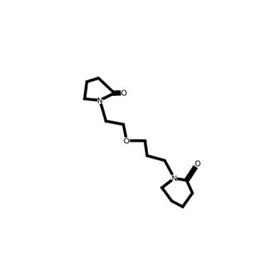 O=C1CCCCN1CCCOCCN1CCCC1=O